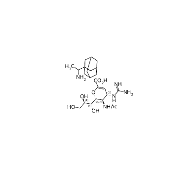 CC(=O)N[C@H]1[C@H]([C@H](O)[C@H](O)CO)OC(C(=O)O)=C[C@@H]1NC(=N)N.CC(N)C12CC3CC(CC(C3)C1)C2